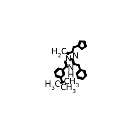 C=c1c(CC2=CC=CC2)nc2n1C=C(c1cccc(C(C)(C)C)c1)NC=2Cc1ccccc1